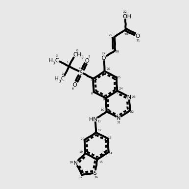 CC(C)(C)S(=O)(=O)c1cc2c(Nc3ccc4scnc4c3)ncnc2cc1OC=CC(=O)O